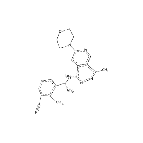 Cc1c(C#N)cccc1[C@@H](N)Nc1nnc(C)c2cnc(N3CCOCC3)cc12